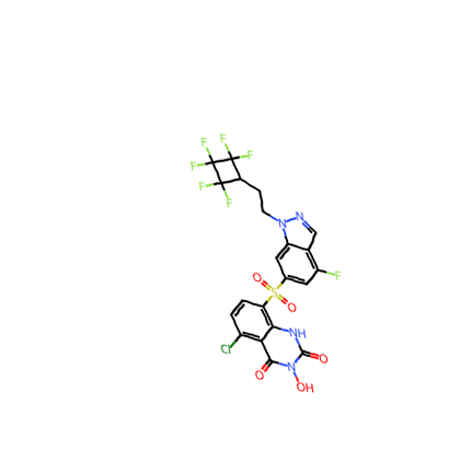 O=c1[nH]c2c(S(=O)(=O)c3cc(F)c4cnn(CCC5C(F)(F)C(F)(F)C5(F)F)c4c3)ccc(Cl)c2c(=O)n1O